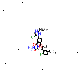 CC[C@H](O)[C@@H](C[C@H](C(N)=O)N1Cc2ccc(-c3nc(NC)ncc3Cl)cc2C1=O)c1cc(C)ccc1F